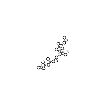 CC1(C)c2ccccc2-c2cc(-c3ccc4c(c3)oc3ccc(N5c6ccccc6B6c7ccccc7N(c7cccc8c7sc7ccccc78)c7cccc5c76)cc34)cc(N3c4ccccc4B4c5ccccc5N(c5ccc6oc7ccccc7c6c5)c5cccc3c54)c21